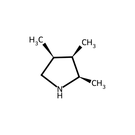 C[C@@H]1[C@H](C)CN[C@@H]1C